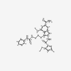 CCn1nc(C)cc1C(=O)Nc1nc2cc(C(N)=O)cc(OC)c2n1CCCOC(=O)Nc1ccccc1